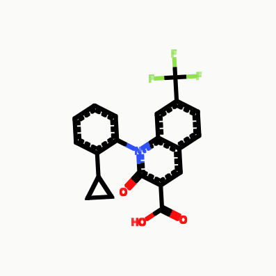 O=C(O)c1cc2ccc(C(F)(F)F)cc2n(-c2ccccc2C2CC2)c1=O